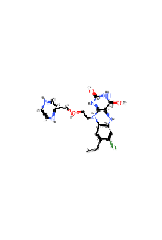 CCc1cc2c(cc1Cl)nc1c(=O)[nH]c(=O)nc-1n2CCOCc1cnccn1